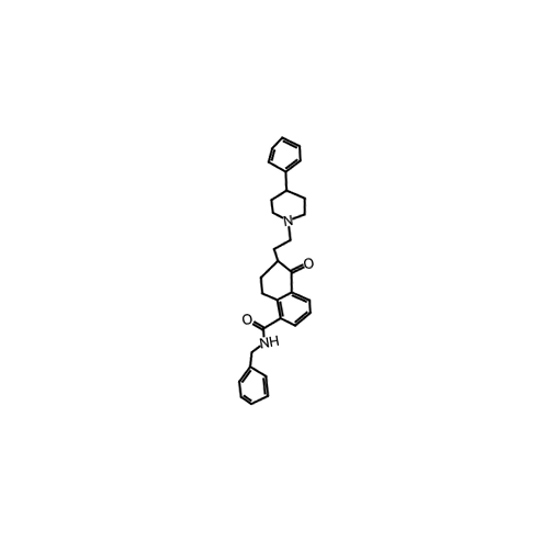 O=C(NCc1ccccc1)c1cccc2c1CCC(CCN1CCC(c3ccccc3)CC1)C2=O